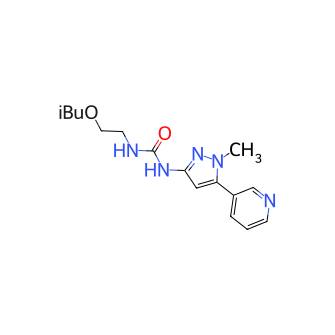 CC(C)COCCNC(=O)Nc1cc(-c2cccnc2)n(C)n1